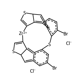 Brc1cc2c3c(c1)=CC1SC=[C]([Zr+2][C]4=CSC5C=c6c(c(Br)ccc6=C45)S2)C=31.[Cl-].[Cl-]